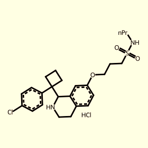 CCCNS(=O)(=O)CCCOc1ccc2c(c1)C(C1(c3ccc(Cl)cc3)CCC1)NCC2.Cl